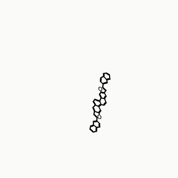 c1ccc2cc(-c3cc4cc5ccc6c7cc8oc(-c9ccc%10ccccc%10c9)cc8cc7ccc6c5cc4o3)ccc2c1